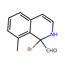 Cc1cccc2c1C(Br)(C=O)NC=C2